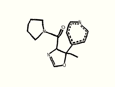 CC1(c2ccncc2)OC=NC1C(=O)N1CCCC1